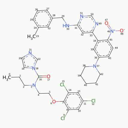 CCCN(CCOc1c(Cl)cc(Cl)cc1Cl)C(=O)n1ccnc1.Cc1cccc(CNc2cc(-c3cc(N4CCCCC4)ccc3[N+](=O)[O-])ncn2)c1